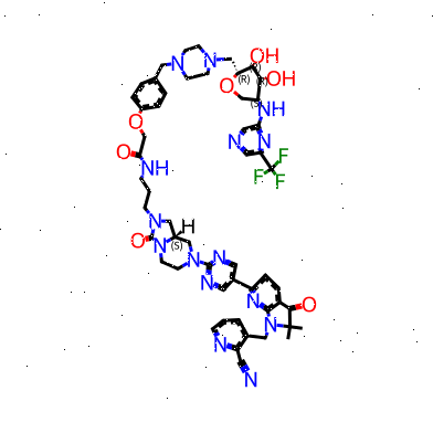 CC1(C)C(=O)c2ccc(-c3cnc(N4CCN5C(=O)N(CCCNC(=O)COc6ccc(CN7CCN(C[C@H]8OC[C@H](Nc9cncc(C(F)(F)F)n9)[C@@H](O)[C@H]8O)CC7)cc6)C[C@@H]5C4)nc3)nc2N1Cc1cccnc1C#N